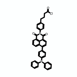 O=C(Cl)CCCc1ccc(N2C(=O)c3cccc4c(-c5ccc(N(c6ccccc6)c6ccccc6)cc5)ccc(c34)C2=O)cc1